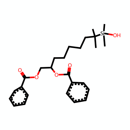 CC(C)(CCCCCC(COC(=O)c1ccccc1)OC(=O)c1ccccc1)[Si](C)(C)O